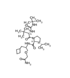 CC(C)[C@H]1CCN(C(=O)[C@@H](NC(=O)NC(C)(C)C)C(C)(C)C)[C@@H]1C(=O)NC(COCC(N)=O)CC1CCC1